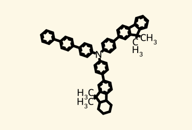 CC1(C)c2ccccc2-c2ccc(-c3ccc(N(c4ccc(-c5ccc(-c6ccccc6)cc5)cc4)c4ccc(-c5ccc6c(c5)C(C)(C)C5CCCCC65)cc4)cc3)cc21